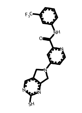 O=C(Nc1cccc(C(F)(F)F)c1)c1cc(N2Cc3cnc(S)nc3C2)ccn1